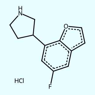 Cl.Fc1cc(C2CCNC2)c2occc2c1